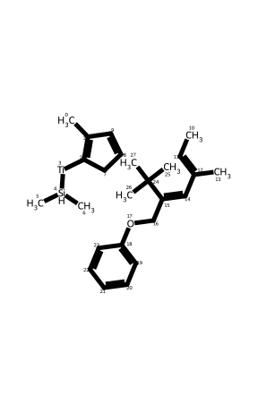 CC1=[C]([Ti][SiH](C)C)CC=C1.CC=C(C)C=C(COc1ccccc1)C(C)(C)C